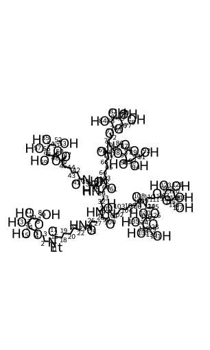 CCN(CCO[C@@H]1O[C@@H](CO)[C@H](O)[C@@H](O)[C@H]1O)C(=O)CCCCCNC(=O)CC[C@H](NC(=O)CC[C@H](NC(=O)CNC(=O)CCCCC(=O)O[C@@H]1O[C@@H](CO)[C@H](O)[C@@H](O)[C@H]1O)C(=O)NCCCCCC(=O)N(CCO[C@@H]1O[C@@H](CO)[C@H](O)[C@@H](O)[C@H]1O)CCO[C@@H]1O[C@@H](CO)[C@H](O)[C@@H](O)[C@H]1O)C(=O)NCCCCCC(=O)N(CCO[C@@H]1O[C@@H](CO)[C@H](O)[C@@H](O)[C@H]1O)CCO[C@@H]1O[C@@H](CO)[C@H](O)[C@@H](O)[C@H]1O